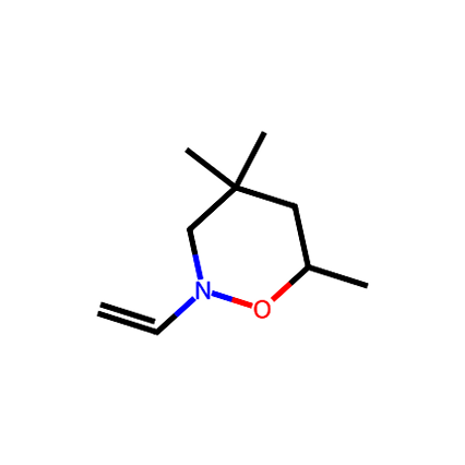 C=CN1CC(C)(C)CC(C)O1